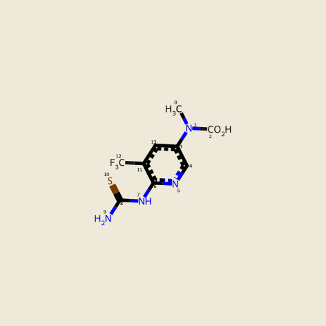 CN(C(=O)O)c1cnc(NC(N)=S)c(C(F)(F)F)c1